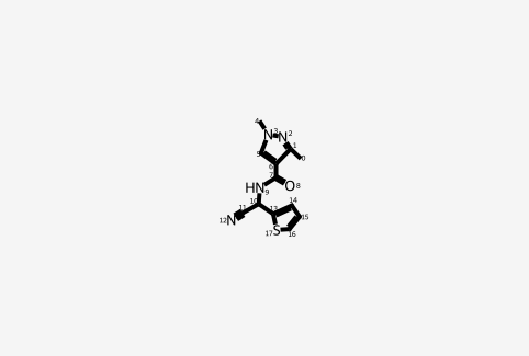 Cc1nn(C)cc1C(=O)NC(C#N)c1cccs1